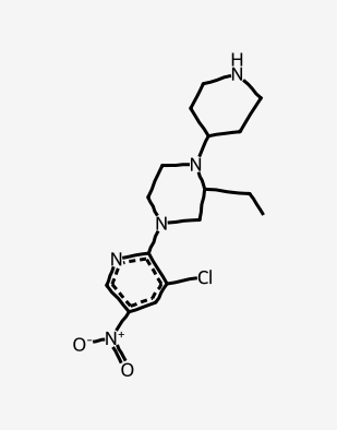 CCC1CN(c2ncc([N+](=O)[O-])cc2Cl)CCN1C1CCNCC1